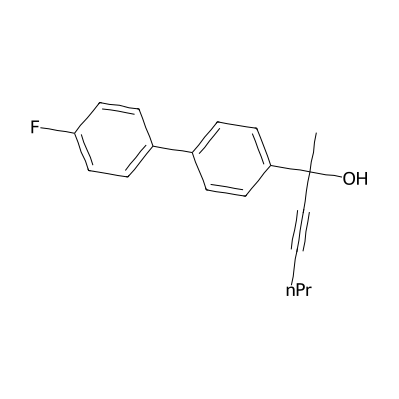 CCCC#CC(C)(O)c1ccc(-c2ccc(F)cc2)cc1